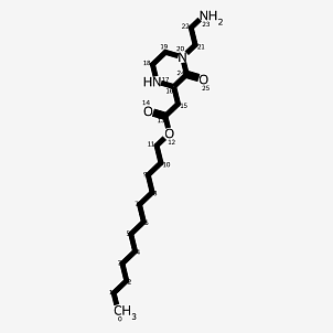 CCCCCCCCCCCCOC(=O)CC1NCCN(CCN)C1=O